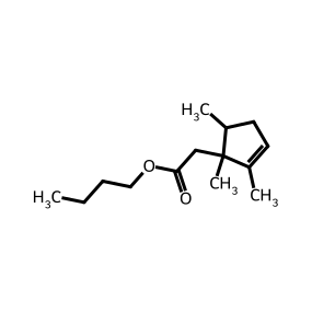 CCCCOC(=O)CC1(C)C(C)=CCC1C